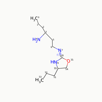 CCCC(N)CC/N=C1\NC(CCC)CO1